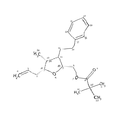 C=CC[C@H]1O[C@@H](COC(=O)C(C)(C)C)C(CCc2ccccc2)[C@H]1C